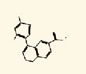 COc1ccc(C2=CCCc3ccc(C(=O)NN)cc32)c(F)c1